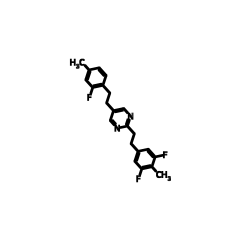 Cc1ccc(CCc2cnc(CCc3cc(F)c(C)c(F)c3)nc2)c(F)c1